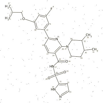 CC(C)COc1cc(F)cc(-c2ccc(C(=O)NS(=O)(=O)c3ccn[nH]3)c(N3CCC(C)C(C)C3)n2)c1